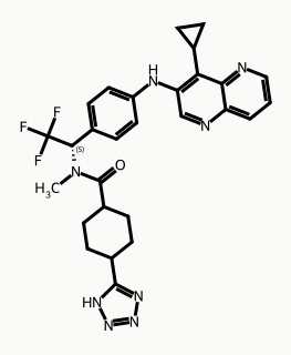 CN(C(=O)C1CCC(c2nnn[nH]2)CC1)[C@@H](c1ccc(Nc2cnc3cccnc3c2C2CC2)cc1)C(F)(F)F